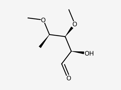 CO[C@@H]([C@@H](O)C=O)[C@@H](C)OC